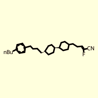 CCCCc1ccc(CCCC[C@H]2CC[C@H](C3CCC(CC/C=C(\F)C#N)CC3)CC2)cc1